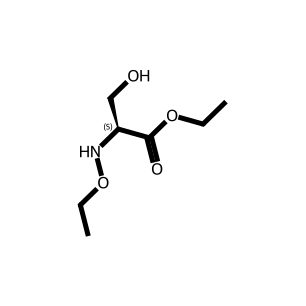 CCON[C@@H](CO)C(=O)OCC